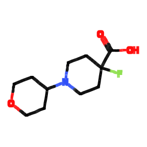 O=C(O)C1(F)CCN(C2CCOCC2)CC1